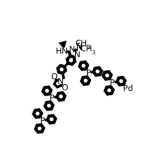 CN(C)c1nc(NC2CC2)c2cc(-c3cccc(CN4C(=O)CCC4=O)c3)ccc2n1.[Pd].c1ccc(P(c2ccccc2)c2ccccc2)cc1.c1ccc(P(c2ccccc2)c2ccccc2)cc1.c1ccc(P(c2ccccc2)c2ccccc2)cc1.c1ccc(P(c2ccccc2)c2ccccc2)cc1